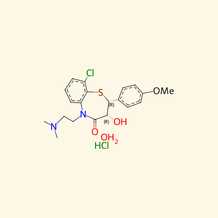 COc1ccc([C@H]2Sc3c(Cl)cccc3N(CCN(C)C)C(=O)[C@H]2O)cc1.Cl.O